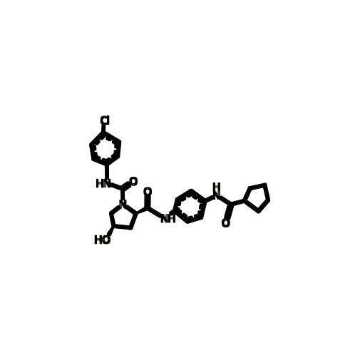 O=C(Nc1ccc(NC(=O)[C@H]2C[C@@H](O)CN2C(=O)Nc2ccc(Cl)cc2)cc1)C1CCCC1